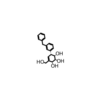 OCC1=C[C@H](c2cccc(Cc3ccccc3)c2)[C@H](O)[C@@H](O)[C@@H]1O